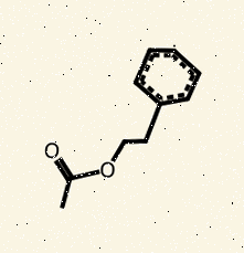 CC(=O)OCCc1cc[c]cc1